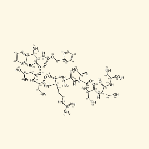 CC[C@H](C)[C@H](NC(=O)[C@@H](CCCNC(=N)N)NC(=O)[C@H](CC(C)C)NC(=O)[C@@H](NC(=O)[C@@H](NC(=O)OCc1ccccc1)[C@H](N)c1ccccc1)[C@H](O)C(C)C)C(=O)N[C@H](C(=O)N[C@H](CO)C(=O)N[C@@H](CO)C(=O)N[C@@H](CO)C(=O)O)[C@H](C)O